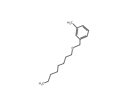 [CH2]c1cccc(COCCCCCCCC)c1